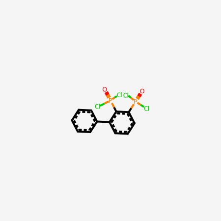 O=P(Cl)(Cl)c1cccc(-c2ccccc2)c1P(=O)(Cl)Cl